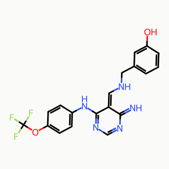 N=C1N=CN=C(Nc2ccc(OC(F)(F)F)cc2)/C1=C/NCc1cccc(O)c1